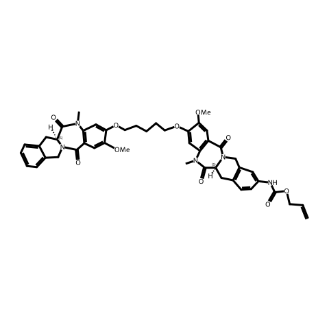 C=CCOC(=O)Nc1ccc2c(c1)CN1C(=O)c3cc(OC)c(OCCCCCOc4cc5c(cc4OC)C(=O)N4Cc6ccccc6C[C@H]4C(=O)N5C)cc3N(C)C(=O)[C@@H]1C2